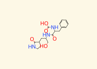 O=C(O)NC(Cc1ccccc1)C(=O)NC(CO)CC1CCNC1=O